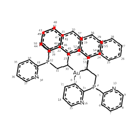 [I][Au]([CH](CP(c1ccccn1)c1ccccn1)P(c1ccccn1)c1ccccn1)[CH](CP(c1ccccn1)c1ccccn1)P(c1ccccn1)c1ccccn1